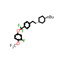 CCCC[C@H]1CC[C@H](CCc2ccc(C(F)(F)Oc3ccc(OC(F)(F)F)c(F)c3)cc2)CC1